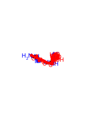 [N-]=[N+]=NCOC1CC(C2C=C(C#CCNC(=O)COCCOC(COc3cccc(C(=O)NCCN)c3)N=[N+]=[N-])C(=O)NC2=O)OC1COP(=O)(O)OP(=O)(O)OP(=O)(O)O